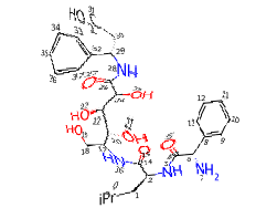 CC(C)C[C@H](NC(=O)[C@@H](N)c1ccccc1)C(=O)N[C@@H](CO)[C@@H](O)[C@@H](O)[C@H](O)C(=O)N[C@@H](CC(=O)O)c1ccccc1